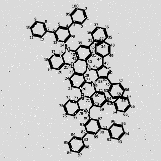 c1ccc(-c2cc(-c3ccccc3)cc(N3c4ccccc4B4c5ccc6c7c5N(c5cc(-c8ccccc8)cc3c54)c3c(-c4ccccc4)sc(-c4ccccc4)c3N7c3cc(-c4ccccc4)cc4c3B6c3ccccc3N4c3cc(-c4ccccc4)cc(-c4ccccc4)c3)c2)cc1